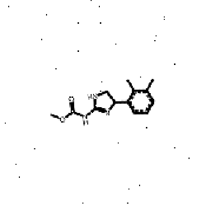 COC(=O)NC1=NC(c2cccc(C)c2C)CN1